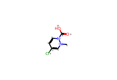 CN1C=C(Cl)C=CN1C(=O)O